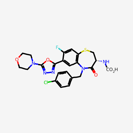 O=C(O)N[C@H]1CSc2cc(F)c(-c3nnc(N4CCOCC4)o3)cc2N(Cc2ccc(Cl)cc2)C1=O